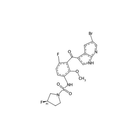 COc1c(NS(=O)(=O)N2CC[C@@H](F)C2)ccc(F)c1C(=O)c1c[nH]c2ncc(Br)cc12